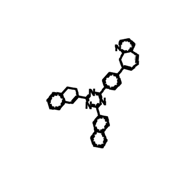 C1=Cc2cccnc2CC(c2ccc(-c3nc(C4=Cc5ccccc5CC4)nc(-c4ccc5ccccc5c4)n3)cc2)=C1